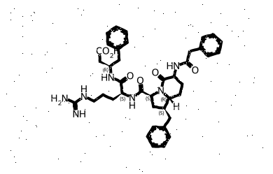 N=C(N)NCCC[C@H](NC(=O)[C@@H]1C[C@H](Cc2ccccc2)[C@H]2CCC(NC(=O)Cc3ccccc3)C(=O)N21)C(=O)N[C@@H](CC(=O)O)Cc1ccccc1